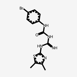 Cc1nc(NC(=N)NC(=O)Nc2ccc(Br)cc2)sc1C